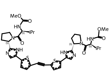 COC(=O)N[C@H](C(=O)N1CCC[C@H]1c1ncc(-c2ccc(C#Cc3ccc(-c4cnc([C@@H]5CCCN5C(=O)[C@@H](NC(=O)OC)C(C)C)[nH]4)s3)s2)[nH]1)C(C)C